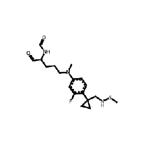 CSNCC1(c2ccc(N(C)CCCC(C=O)NC=O)cc2F)CC1